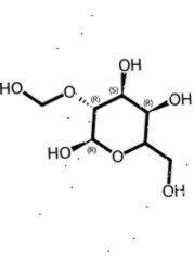 OCO[C@@H]1[C@@H](O)[C@@H](O)C(CO)O[C@H]1O